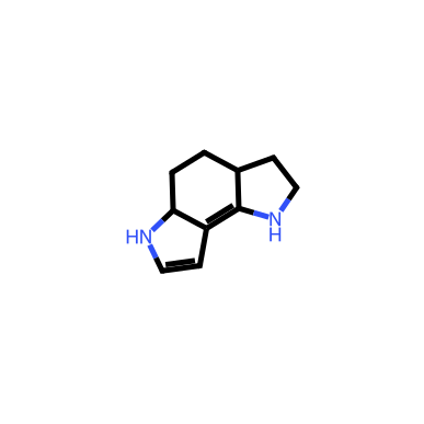 C1=CC2=C3NCCC3CCC2N1